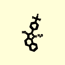 O.OC1=C2C=Cc3ccccc3N2NN1c1ccc(C(F)(F)F)cc1